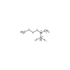 CCCCN(C)[SiH](I)I